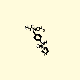 CN(C)Cc1ccc(NC(=O)n2ccnc2)cc1